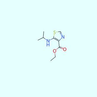 CCOC(=O)c1ncsc1NC(C)C